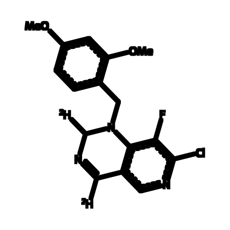 [2H]C1=NC([2H])N(Cc2ccc(OC)cc2OC)c2c1cnc(Cl)c2F